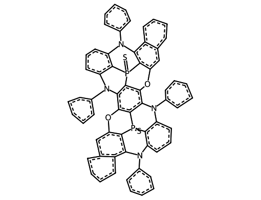 S=P12c3c4cccc3N(c3ccccc3)c3c1c(cc1ccccc31)Oc1c3c5c(c(c12)N4c1ccccc1)Oc1cc2ccccc2c2c1P5(=S)c1c(cccc1N2c1ccccc1)N3c1ccccc1